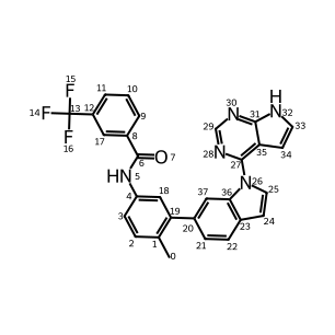 Cc1ccc(NC(=O)c2cccc(C(F)(F)F)c2)cc1-c1ccc2ccn(-c3ncnc4[nH]ccc34)c2c1